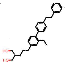 CCc1cc(CCCC(CO)CO)ccc1-c1ccc(CCc2ccccc2)cc1